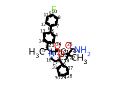 C[C@@H](c1ccc(-c2ccc(F)cc2)cc1)N1CC[C@](CC(C)(C)C(N)=O)(c2ccccc2)OC1=O